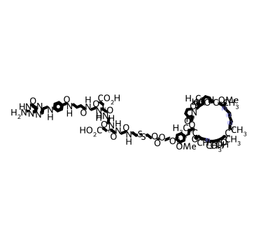 CO[C@H]1C[C@@H]2CC[C@@H](C)[C@@](O)(O2)C(=O)C(=O)N2CCCC[C@H]2C(=O)O[C@H]([C@H](C)C[C@@H]2CC[C@@H](OCCOC(=O)OCCSSCCNC(=O)CNC(=O)[C@H](CCC(=O)O)NC(=O)CNC(=O)[C@H](CCC(=O)O)NC(=O)CNC(=O)CCCNC(=O)c3ccc(NCc4cnc5nc(N)[nH]c(=O)c5n4)cc3)[C@H](OC)C2)CC(=O)[C@H](C)/C=C(\C)[C@@H](O)[C@@H](O)C(=O)[C@H](C)C[C@H](C)/C=C/C=C/C=C/1C